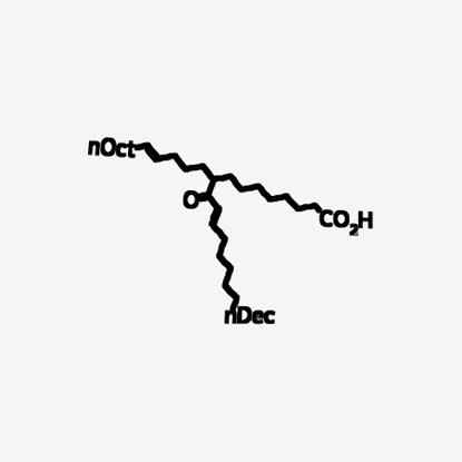 CCCCCCCCC=CCCCC(CCCCCCCC(=O)O)C(=O)C=CCCCCCCCCCCCCCCC